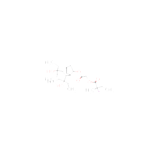 CCC(C)(I)C(=O)OCC(=O)OC1CC2CC1C(C(O)(CC)CC)C2C(O)(CC)CC